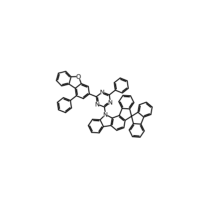 c1ccc(-c2nc(-c3cc(-c4ccccc4)c4c(c3)oc3ccccc34)nc(-n3c4ccccc4c4ccc5c(c43)-c3ccccc3C53c4ccccc4-c4ccccc43)n2)cc1